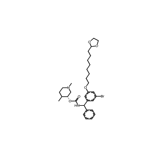 CC1CCN(C)C[C@@H]1OC(=O)NC(c1ccccc1)c1cc(Br)cc(OCCCCCCCCC2OCCO2)c1